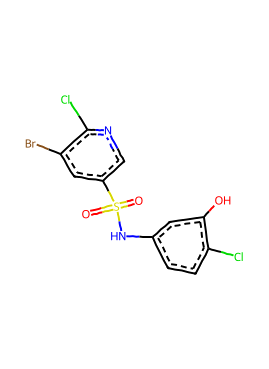 O=S(=O)(Nc1ccc(Cl)c(O)c1)c1cnc(Cl)c(Br)c1